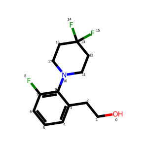 OCCc1cccc(F)c1N1CCC(F)(F)CC1